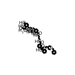 CC(C)(C)OC(=O)N(Cc1ccc(C(=O)NCCCNC(=O)c2cccc(C(O)(C(=O)OCC3CCN(Cc4ccccc4)CC3)c3ccccc3)c2)cc1)C[C@H](O[Si](C)(C)C(C)(C)C)c1ccc(O)c2[nH]c(=O)ccc12